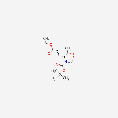 CCOC(=O)C=C[C@@H]1[C@@H](C)OCCN1C(=O)OC(C)(C)C